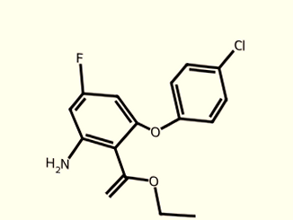 C=C(OCC)c1c(N)cc(F)cc1Oc1ccc(Cl)cc1